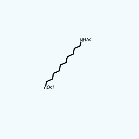 [CH2]C(=O)NCCCCCCCCCCCCCCCCCC